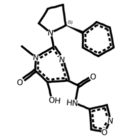 Cn1c(N2CCC[C@H]2c2ccccc2)nc(C(=O)Nc2cnoc2)c(O)c1=O